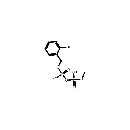 COP(=O)(O)OP(=O)(O)OCc1ccccc1O